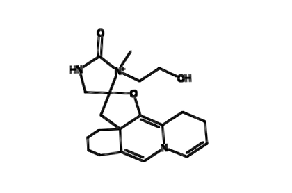 C[N+]1(CCO)C(=O)NCC12CC13CCCCC1=CN1C=CCCC1=C3O2